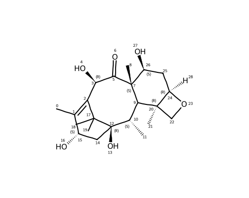 CC1=C2[C@@H](O)C(=O)[C@@]3(C)C([C@H](C)[C@](O)(C[C@@H]1O)C2(C)C)[C@]1(C)CO[C@@H]1C[C@@H]3O